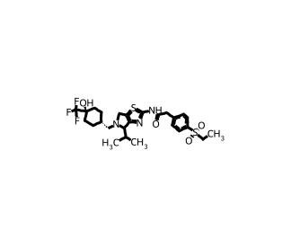 CCS(=O)(=O)c1ccc(CC(=O)Nc2nc3c(s2)CN(C[C@H]2CC[C@@](O)(C(F)(F)F)CC2)C3C(C)C)cc1